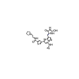 O=C1NC(O)N/C1=C\c1cnn2c(NC3CC3)cc(-c3csc(C(=O)NCCN4CCCC4)c3)nc12